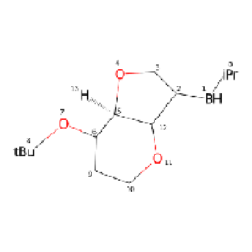 CC(C)BC1CO[C@@H]2C(OC(C)(C)C)CCOC12